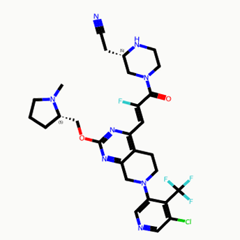 CN1CCC[C@H]1COc1nc(C=C(F)C(=O)N2CCN[C@@H](CC#N)C2)c2c(n1)CN(c1cncc(Cl)c1C(F)(F)F)CC2